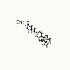 CCOC(=O)N1CCC2(CC(N3CCC(C(=O)NC4(CF)CCC4)CC3)C2)C1